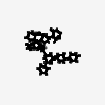 Cc1ccnc(C)c1-c1ccc2c(c1)Oc1ccccc1C21c2ccccc2-c2cc(-c3cc(-c4ccccc4)nc(-c4ccc(-c5ccccc5)cc4)n3)ccc21